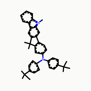 Cn1c2ccccc2c2cc3c(cc21)-c1ccc(N(c2ccc(C(C)(C)C)cc2)c2ccc(C(C)(C)C)cc2)cc1C3(C)C